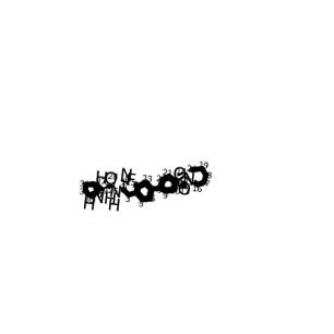 N#C[C@H](Cc1ccc(-c2ccc(S(=O)(=O)N3CCCCC3)cc2)cc1F)NC(=O)[C@H]1N[C@@H]2CC[C@H]1C2